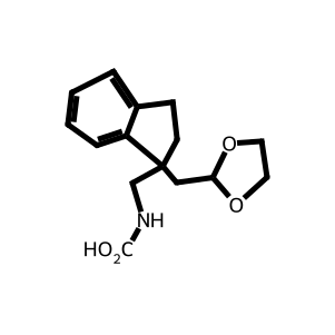 O=C(O)NCC1(CC2OCCO2)CCc2ccccc21